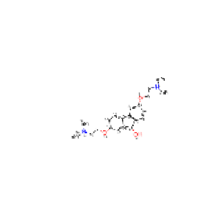 CCCN(CCC)CCOc1ccc2c(c1)-c1ccc(OCCN(CCC)CCC)cc1C2O